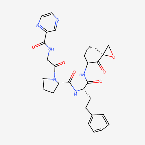 CC(C)CC(NC(=O)[C@H](CCc1ccccc1)NC(=O)[C@@H]1CCCN1C(=O)CNC(=O)c1cnccn1)C(=O)[C@@]1(C)CO1